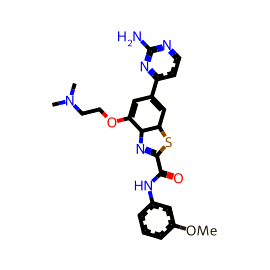 COc1cccc(NC(=O)C2=NC3C(OCCN(C)C)=CC(c4ccnc(N)n4)=CC3S2)c1